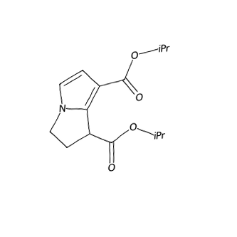 CC(C)OC(=O)c1ccn2c1C(C(=O)OC(C)C)CC2